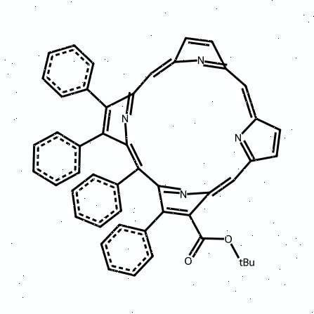 CC(C)(C)OC(=O)C1=C(c2ccccc2)C2=NC1=CC1=NC(=CC3=NC(=CC4=NC(=C2c2ccccc2)C(c2ccccc2)=C4c2ccccc2)C=C3)C=C1